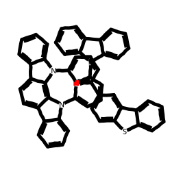 c1cc(-c2ccc3sc4ccccc4c3c2)cc(-n2c3ccccc3c3ccc4c5ccccc5n(-c5cccc(-n6c7ccccc7c7ccccc76)n5)c4c32)c1